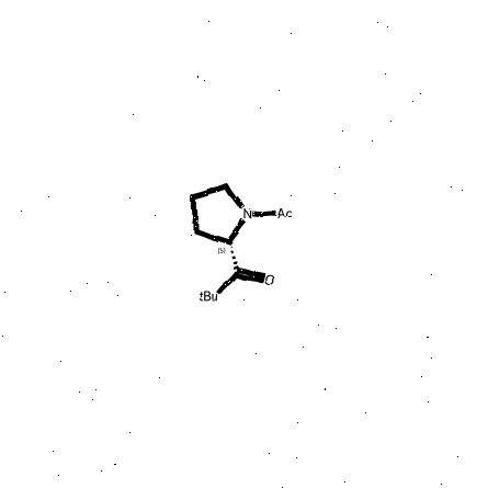 CC(=O)N1CCC[C@H]1C(=O)C(C)(C)C